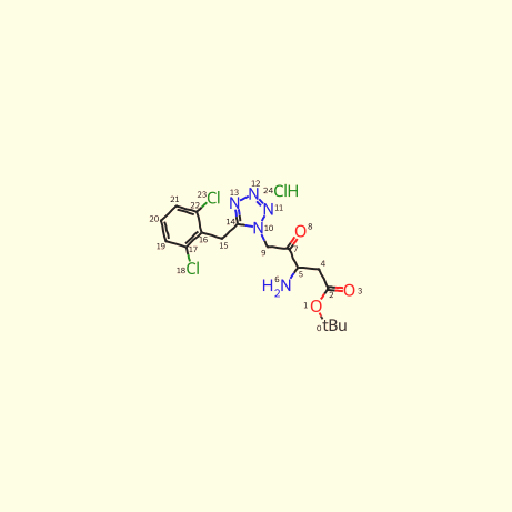 CC(C)(C)OC(=O)CC(N)C(=O)Cn1nnnc1Cc1c(Cl)cccc1Cl.Cl